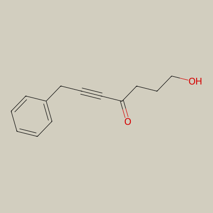 O=C(C#CCc1ccccc1)CCCO